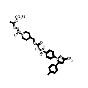 CCOC(=O)OC(C)ON=[N+]([O-])N1CCC(COC(=O)NS(=O)(=O)c2ccc(-n3nc(C(F)(F)F)cc3-c3ccc(C)cc3)cc2)CC1